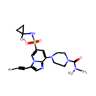 CC(C)C#Cc1cnc2c(N3CCN(C(=O)N(C)C)CC3)cc(S(=O)(=O)NC3(C)CC3)cn12